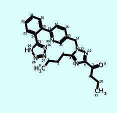 CCCCc1nc(C(=O)CCC)nn1Cc1ccc(-c2ccccc2-c2nnn[nH]2)nc1